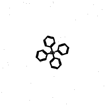 c1cc[c]([Sb+]([c]2ccccc2)([c]2ccccc2)[c]2ccccc2)cc1